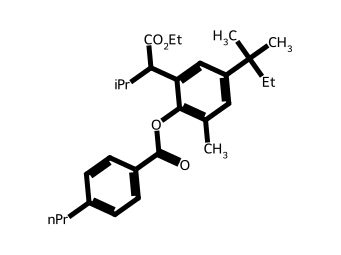 CCCc1ccc(C(=O)Oc2c(C)cc(C(C)(C)CC)cc2C(C(=O)OCC)C(C)C)cc1